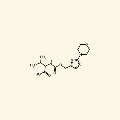 CC(C)C(NC(=O)OCc1csc(N2CCOCC2)n1)C(=O)O